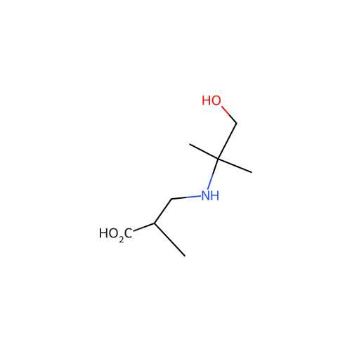 CC(CNC(C)(C)CO)C(=O)O